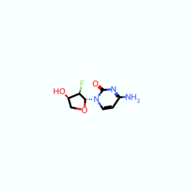 Nc1ccn([C@@H]2OC[C@@H](O)[C@H]2F)c(=O)n1